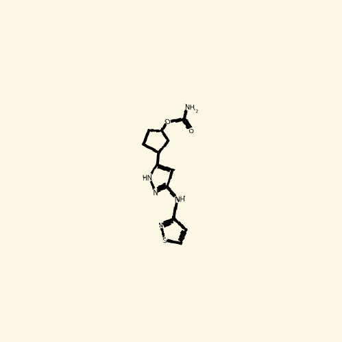 NC(=O)OC1CCC(c2cc(Nc3ccsn3)n[nH]2)C1